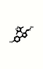 Cc1noc(C)c1-n1c(C=NO)ccc1-c1ccc(O)cc1